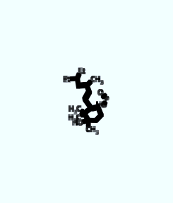 CCC(C=C(C)C=CC1=CCCC(C)(O)C1(C)C)CC.O=PO